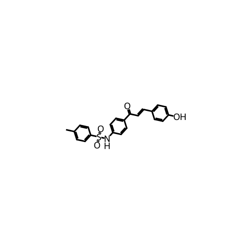 Cc1ccc(S(=O)(=O)Nc2ccc(C(=O)C=Cc3ccc(O)cc3)cc2)cc1